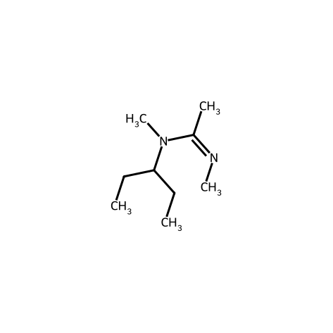 CCC(CC)N(C)/C(C)=N\C